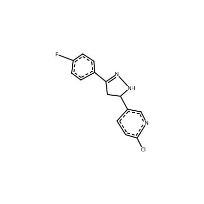 Fc1ccc(C2=NNC(c3ccc(Cl)nc3)C2)cc1